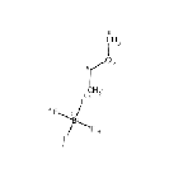 F[B-](F)(F)F.[CH2]COC